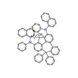 CC1(C)c2c(N(c3ccccc3)c3cccc4ccccc34)ccc3c2-c2c(ccc(N(c4ccccc4)c4cccc5ccccc45)c21)C(c1ccccc1)(c1ccccc1)c1ccccc1-3